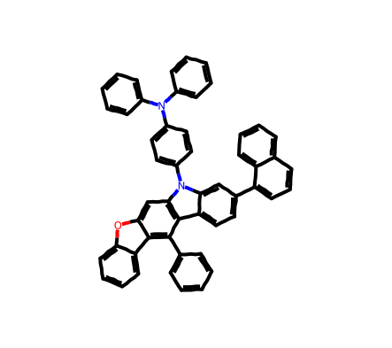 c1ccc(-c2c3c(cc4c2c2ccc(-c5cccc6ccccc56)cc2n4-c2ccc(N(c4ccccc4)c4ccccc4)cc2)oc2ccccc23)cc1